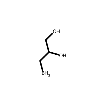 BCC(O)CO